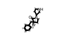 O=C1N(C2CCNC2)CC[C@]1(Br)Cc1ccccc1